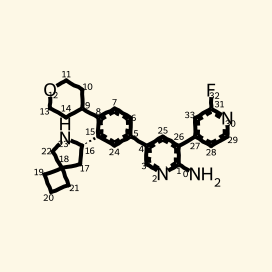 Nc1ncc(-c2ccc(C3CCOCC3)c([C@@H]3CC4(CCC4)CN3)c2)cc1-c1ccnc(F)c1